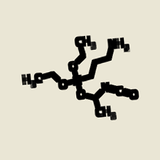 CCO[Si](CCCN)(OCC)OC(C)N=C=O